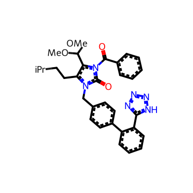 COC(OC)c1c(CCC(C)C)n(Cc2ccc(-c3ccccc3-c3nnn[nH]3)cc2)c(=O)n1C(=O)c1ccccc1